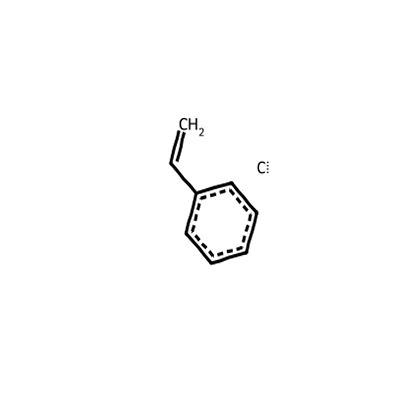 C=Cc1ccccc1.[C]